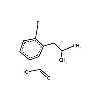 CC(C)Cc1ccccc1F.O=CO